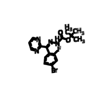 CC(C)(C)OC(=O)NN=C(c1ncccn1)c1ccc(Br)cc1F